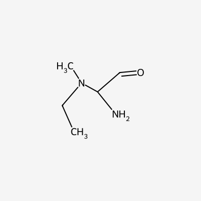 CCN(C)C(N)C=O